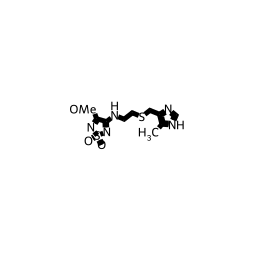 COC1=NS(=O)(=O)N=C1NCCSCc1nc[nH]c1C